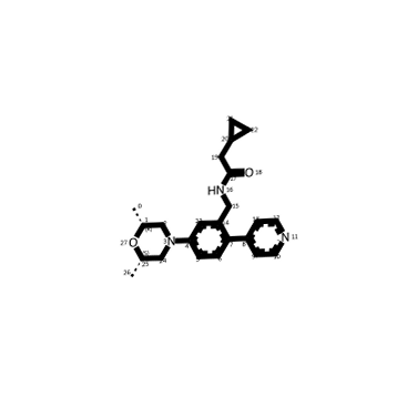 C[C@@H]1CN(c2ccc(-c3ccncc3)c(CNC(=O)CC3CC3)c2)C[C@H](C)O1